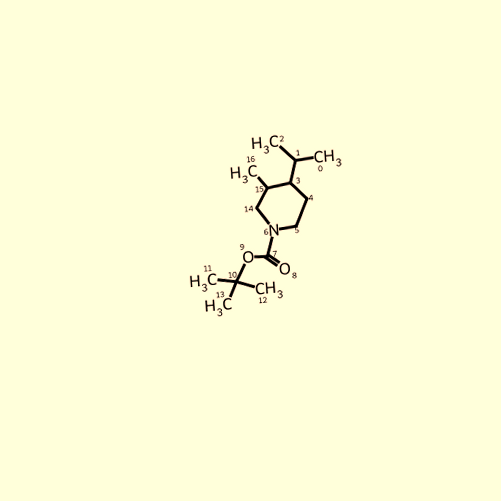 CC(C)C1CCN(C(=O)OC(C)(C)C)CC1C